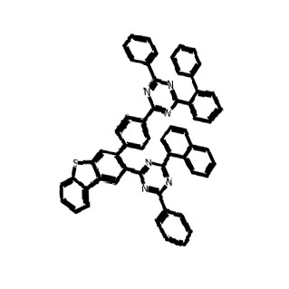 c1ccc(-c2nc(-c3ccc(-c4cc5sc6ccccc6c5cc4-c4nc(-c5ccccc5)nc(-c5cccc6ccccc56)n4)cc3)nc(-c3ccccc3-c3ccccc3)n2)cc1